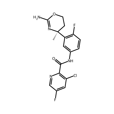 C[C@@]1(c2cc(NC(=O)c3ncc(F)cc3Cl)ccc2F)CCOC(N)=N1